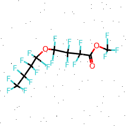 O=C(OC(F)(F)F)C(F)(F)C(F)(F)C(F)(F)OC(F)(F)C(F)(F)C(F)(F)C(F)(F)F